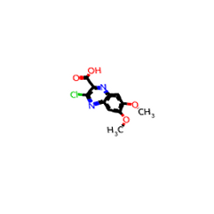 COc1cc2nc(Cl)c(C(=O)O)nc2cc1OC